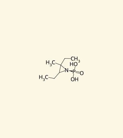 CCC1[N@](P(=O)(O)O)C1(C)CC